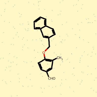 Cc1cc(C=O)ccc1OCc1ccc2ccccc2c1